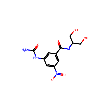 NC(=O)Nc1cc(C(=O)NC(CO)CO)cc([N+](=O)[O-])c1